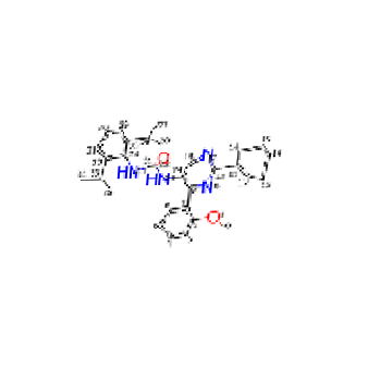 COc1ccccc1-c1nc(-c2ccccc2)ncc1NC(=O)Nc1c(C(C)C)cccc1C(C)C